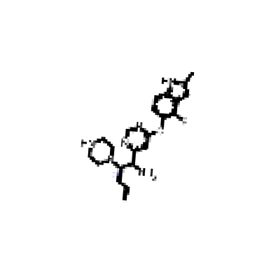 C=C/C=C(\C(N)c1cc(Oc2ccc3[nH]c(C)cc3c2F)ncn1)N1CCNCC1